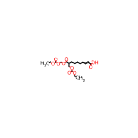 CCOC(=O)OCOC(=O)C(CCCCCCCC(=O)O)COC(=O)OCC